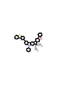 CC1(C)c2cc3oc4ccccc4c3cc2-c2cc3c4cc(-c5ccc6sc7ccccc7c6c5)ccc4n(-c4ccccc4)c3cc21